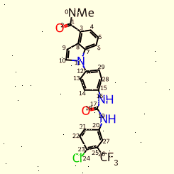 CNC(=O)c1cccc2c1ccn2-c1ccc(NC(=O)Nc2ccc(Cl)c(C(F)(F)F)c2)cc1